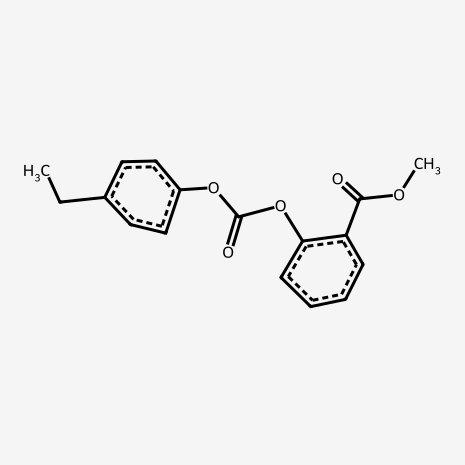 CCc1ccc(OC(=O)Oc2ccccc2C(=O)OC)cc1